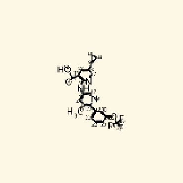 Cc1cc(Nc2ncc(C3CC3)cc2C(=O)O)cnc1-c1cccc(OC(F)(F)F)c1